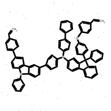 C=Cc1ccc(Oc2ccc(C3(c4ccccc4)c4ccccc4-c4ccc(N(c5ccc(-c6ccccc6)cc5)c5ccc(-c6ccc7c(c6)c6cc(-c8ccc(C=C)cc8)ccc6n7-c6ccccc6)cc5)cc43)cc2)cc1